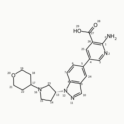 Nc1ncc(-c2ccc3c(cnn3[C@@H]3CCN(C4CCOCC4)C3)c2)cc1C(=O)O